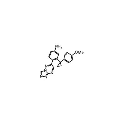 COc1ccc(C2(c3cc(N)ccc3-c3cnc4nncn4n3)CC2)cc1